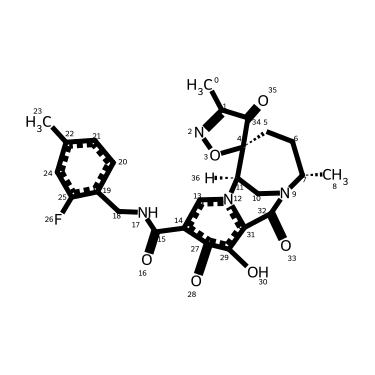 CC1=NO[C@@]2(CC[C@H](C)N3C[C@H]2n2cc(C(=O)NCc4ccc(C)cc4F)c(=O)c(O)c2C3=O)C1=O